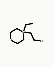 CC[N+]1(CCO)CCOCC1